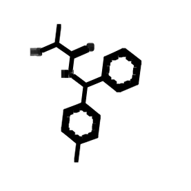 Cc1ccc(C(NC(=O)C(C)S)c2ccccc2)cc1